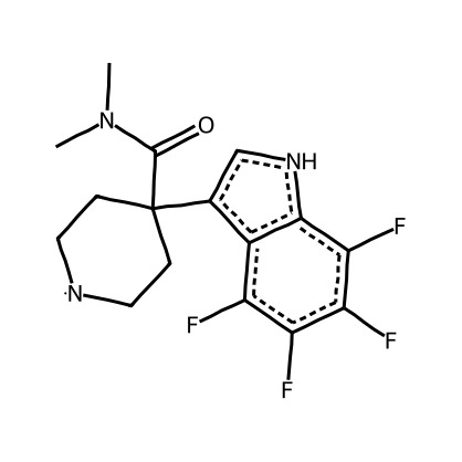 CN(C)C(=O)C1(c2c[nH]c3c(F)c(F)c(F)c(F)c23)CC[N]CC1